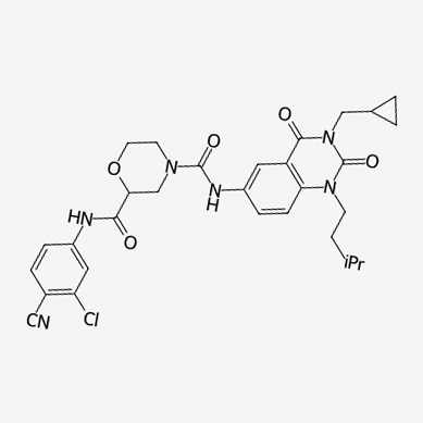 CC(C)CCn1c(=O)n(CC2CC2)c(=O)c2cc(NC(=O)N3CCOC(C(=O)Nc4ccc(C#N)c(Cl)c4)C3)ccc21